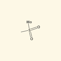 C[S](=O)(=O)[Mo]